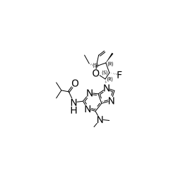 C=C[C@]1(CC)O[C@@H](n2cnc3c(N(C)C)nc(NC(=O)C(C)C)nc32)[C@@H](F)[C@@H]1C